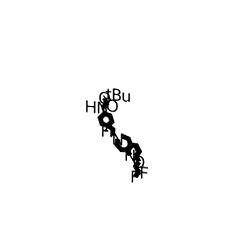 CC(C)(C)OC(=O)N[C@H]1CC[C@](F)(CCN2CCc3ccc(OCC(F)F)nc3CC2)CC1